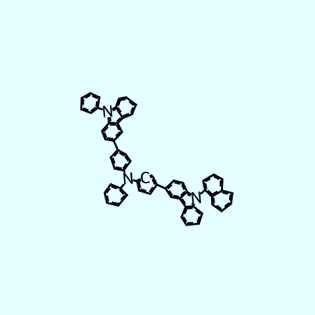 c1ccc(N(c2ccc(-c3ccc4c(c3)c3ccccc3n4-c3ccccc3)cc2)c2ccc(-c3ccc4c(c3)c3ccccc3n4-c3cccc4ccccc34)cc2)cc1